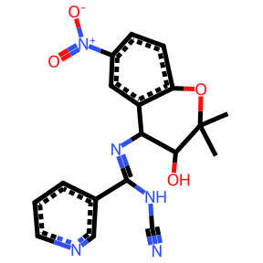 CC1(C)Oc2ccc([N+](=O)[O-])cc2C(N=C(NC#N)c2cccnc2)C1O